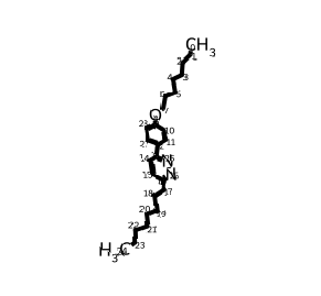 CCCCCCCCOc1ccc(-c2ccc(CCCCCCCC)nn2)cc1